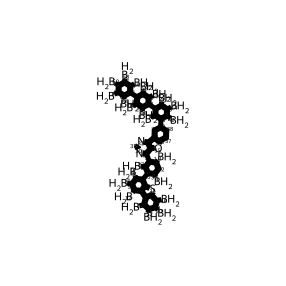 Bc1cc(B)c(-c2c(B)c(B)c(B)c3c2sc2c(B)c(B)c(B)c(B)c23)c(B)c1-c1ncnc2c1oc1ccc(-c3c(B)c(B)c(B)c(-c4c(B)c(B)c(-c5c(B)c(B)c(B)c(B)c5B)c(B)c4B)c3B)cc12